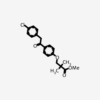 COC(=O)C(C)(C)COc1ccc(C(=O)Cc2ccc(Cl)cc2)cc1